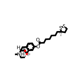 CN1CC[C@@]23CCCC[C@@H]2[C@@H]1Cc1ccc(OC(=O)CCCCCC[C@]2(C)CCSS2)cc13